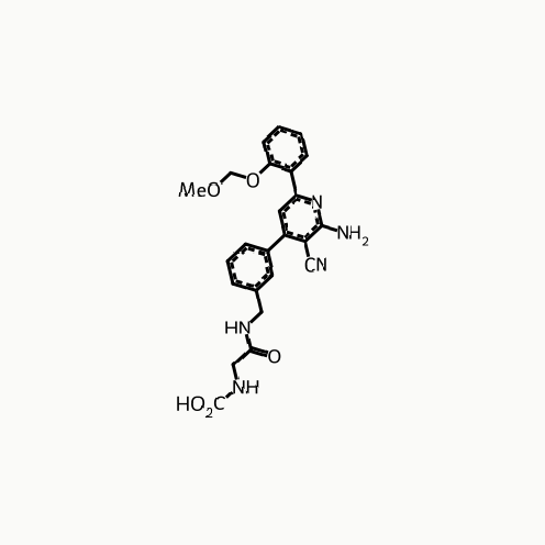 COCOc1ccccc1-c1cc(-c2cccc(CNC(=O)CNC(=O)O)c2)c(C#N)c(N)n1